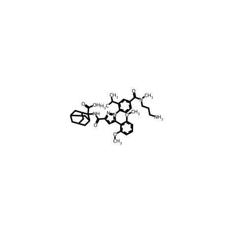 COc1cccc(OC)c1-c1cc(C(=O)NC2(C(=O)O)C3CC4CC(C3)CC2C4)nn1-c1ccc(C(=O)N(C)CCCN)cc1C(C)C